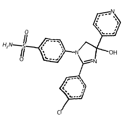 NS(=O)(=O)c1ccc(N2CC(O)(c3ccncc3)N=C2c2ccc(Cl)cc2)cc1